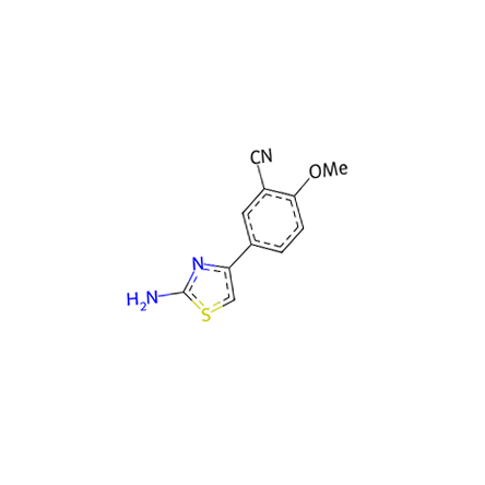 COc1ccc(-c2csc(N)n2)cc1C#N